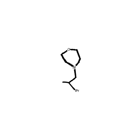 CC(C)C(C)CN1CCOCC1